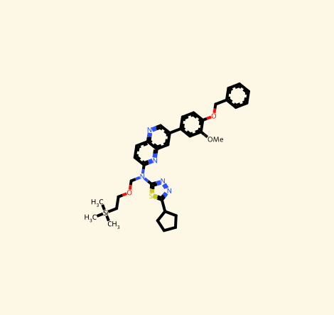 COc1cc(-c2cnc3ccc(N(COCC[Si](C)(C)C)c4nnc(C5CCCC5)s4)nc3c2)ccc1OCc1ccccc1